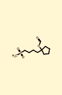 CS(=O)(=O)CCCCC1(OC=O)CCCC1